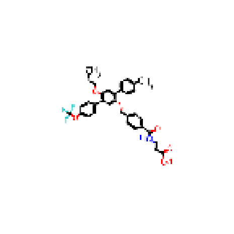 CCCOc1cc(-c2ccc(C)cc2)c(OCc2ccc(C(=O)NCCC(=O)O)cc2)cc1-c1ccc(OC(F)(F)F)cc1